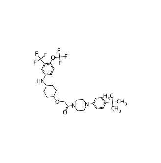 CC(C)(C)c1ccc(N2CCN(C(=O)COC3CCC(Nc4ccc(OC(F)(F)F)c(C(F)(F)F)c4)CC3)CC2)cc1